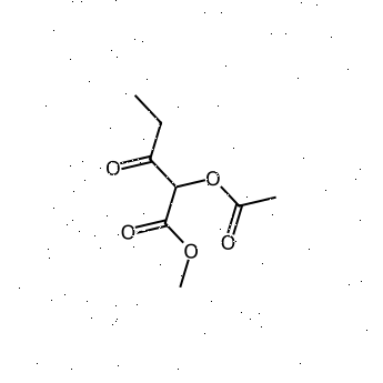 CCC(=O)C(OC(C)=O)C(=O)OC